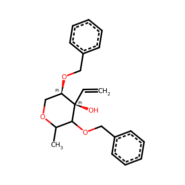 C=C[C@]1(O)C(OCc2ccccc2)C(C)OC[C@H]1OCc1ccccc1